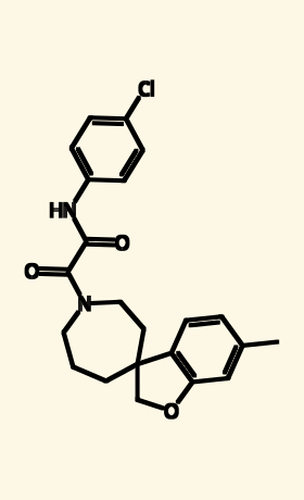 Cc1ccc2c(c1)OCC21CCCN(C(=O)C(=O)Nc2ccc(Cl)cc2)CC1